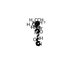 C[C@@H]1[C@H]2C[C@@H](C[C@H]1Nc1cnn(CCNC(=O)c3cccnc3)c(=O)c1Br)C2(C)C